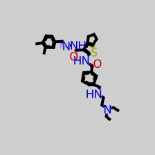 CCN(CC)CCNCc1cccc(C(=O)Nc2sc3c(c2C(=O)N/N=C/c2ccc(C)c(C)c2)CCC3)c1